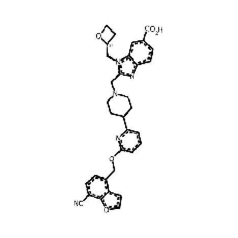 N#Cc1ccc(COc2cccc(C3CCN(Cc4nc5ccc(C(=O)O)cc5n4C[C@@H]4CCO4)CC3)n2)c2ccoc12